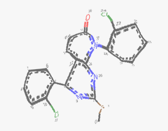 CSc1nc(-c2ccccc2Cl)c2ccc(=O)n(-c3ccccc3Cl)c2n1